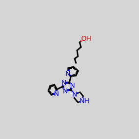 CCCCCCO.c1ccc(-c2nc(-c3ccccn3)nc(N3CCNCC3)n2)nc1